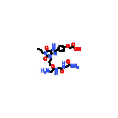 CCCn1c(=O)c2[nH]c(-c3ccc(OCC(=O)O)cc3)nc2n(CCC)c1=O.NCC(=O)NCC(=O)NCC(N)=O